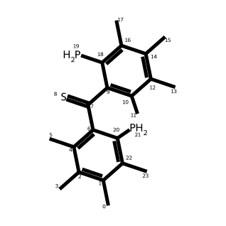 Cc1c(C)c(C)c(C(=S)c2c(C)c(C)c(C)c(C)c2P)c(P)c1C